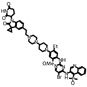 CCc1cc(Nc2ncc(Br)c(Nc3cnc4ccccc4c3P(C)(C)=O)n2)c(OC)cc1N1CCC(N2CCN(CCc3ccc4c(c3)C3(CC3)C(=O)N4C3CCC(=O)NC3=O)CC2)CC1